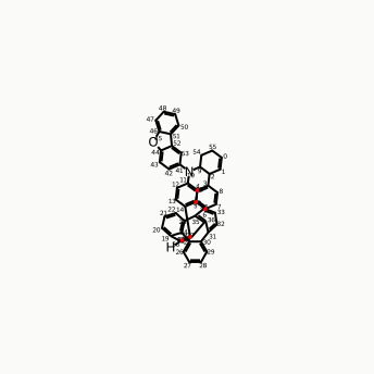 C1=CC(c2ccccc2)C(N(c2ccc(C3CC[C@H]4c5cccc6c5-c5ccccc5-c5cccc-6c5C4C3)cc2)c2ccc3oc4ccccc4c3c2)CC1